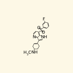 CNC1CC=C(c2c[nH]c3c(S(=O)(=O)c4cccc(F)c4)ccnc23)CC1